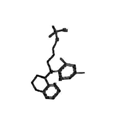 Cc1cnc(N(CCCO[Si](C)(C)C(C)(C)C)C2CCCc3cccnc32)c(C)c1